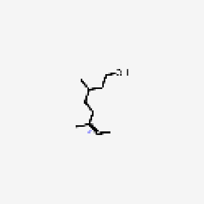 C/C=C(/C)CCC(C)CCO